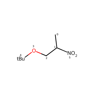 CC(COC(C)(C)C)[N+](=O)[O-]